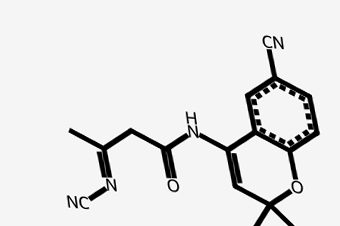 CC(CC(=O)NC1=CC(C)(C)Oc2ccc(C#N)cc21)=NC#N